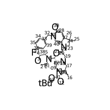 C[C@@H]1COCCN1C[C@H]1CN(C(=O)OC(C)(C)C)[C@H](C)CN1CC(=O)N1CC(C)(C)c2cc(=O)n(Cc3ccc(F)cc3)cc21